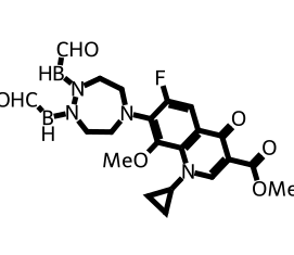 COC(=O)c1cn(C2CC2)c2c(OC)c(N3CCN(BC=O)N(BC=O)CC3)c(F)cc2c1=O